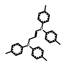 Cc1ccc(P(/C=C/CP(c2ccc(C)cc2)c2ccc(C)cc2)c2ccc(C)cc2)cc1